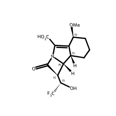 CO[C@H]1CCC[C@H]2C1=C(C(=O)O)N1C(=O)[C@H]([C@H](O)C(F)(F)F)[C@@H]21